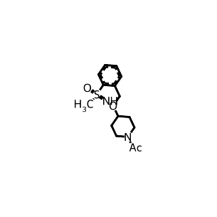 CC(=O)N1CCC(OCc2ccccc2S(C)(=N)=O)CC1